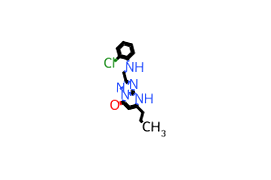 CCCc1cc(=O)n2nc(CNc3ccccc3Cl)nc2[nH]1